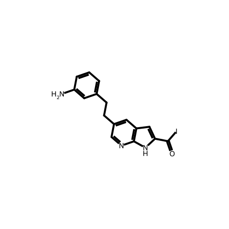 Nc1cccc(CCc2cnc3[nH]c(C(=O)I)cc3c2)c1